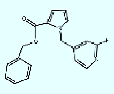 O=C(OCc1ccccc1)c1cccn1Cc1ccnc(F)c1